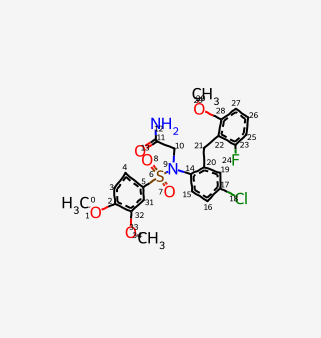 COc1ccc(S(=O)(=O)N(CC(N)=O)c2ccc(Cl)cc2Cc2c(F)cccc2OC)cc1OC